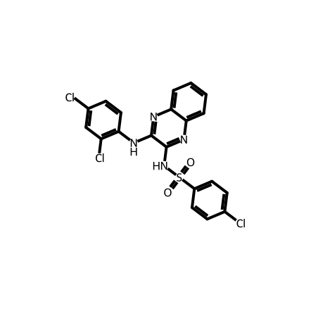 O=S(=O)(Nc1nc2ccccc2nc1Nc1ccc(Cl)cc1Cl)c1ccc(Cl)cc1